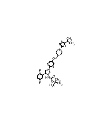 CC(C)c1nnc(N2CCC(COc3cnc(N4C[C@H](NC(=O)OC(C)(C)C)[C@@H](c5cc(F)ccc5F)C4)nc3)CC2)o1